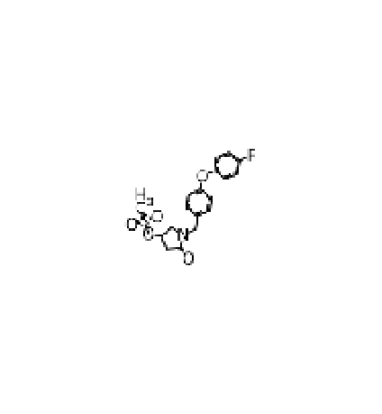 CS(=O)(=O)OC1CC(=O)N(Cc2ccc(Oc3ccc(F)cc3)cc2)C1